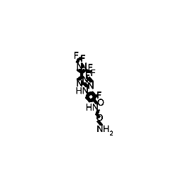 NCCOCCNC(=O)c1ccc(Nc2nccn3c(-c4cn(CC(F)F)nc4C(F)(F)F)cnc23)cc1F